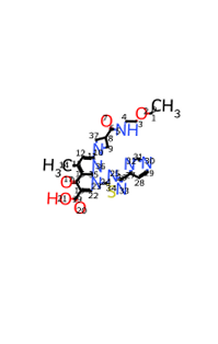 CCOCCNC(=O)C1CN(c2cc(C)c3c(=O)c(C(=O)O)cn(-c4nc(-c5ccncn5)ns4)c3n2)C1